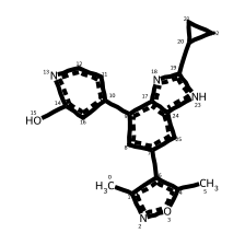 Cc1noc(C)c1-c1cc(-c2ccnc(O)c2)c2nc(C3CC3)[nH]c2c1